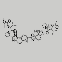 COC(=O)N[C@H](C(=O)N1CCC[C@H]1c1nc2ccc3nc(-c4nc5ccc6nc([C@@H]7CCCN7C(=O)[C@@H](NC(C)=O)C(C)C)[nH]c6c5o4)ccc3c2[nH]1)C(C)C